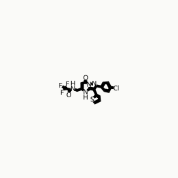 O=C(NCc1cc(=O)n2nc(-c3ccc(Cl)cc3)c(-c3cccs3)c2[nH]1)C(F)(F)F